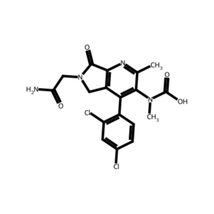 Cc1nc2c(c(-c3ccc(Cl)cc3Cl)c1N(C)C(=O)O)CN(CC(N)=O)C2=O